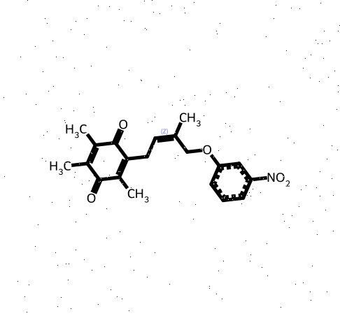 CC1=C(C)C(=O)C(C/C=C(/C)COc2cccc([N+](=O)[O-])c2)=C(C)C1=O